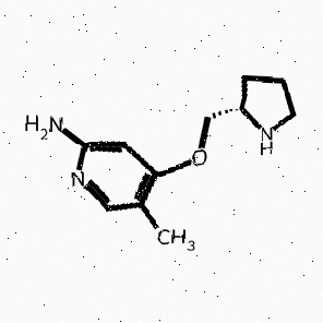 Cc1cnc(N)cc1OC[C@@H]1CCCN1